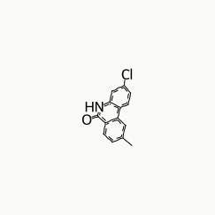 Cc1ccc2c(=O)[nH]c3cc(Cl)ccc3c2c1